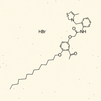 Br.CCCCCCCCCCCCCCOc1ccc(OCC(=O)Nc2ccccc2CN2CSC=C2C)cc1C(C)=O